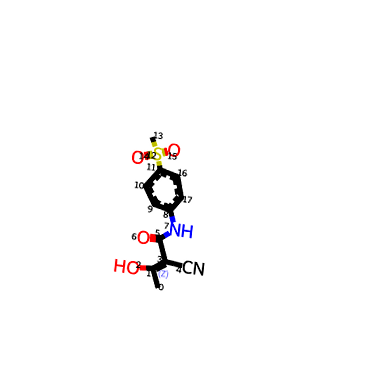 C/C(O)=C(\C#N)C(=O)Nc1ccc(S(C)(=O)=O)cc1